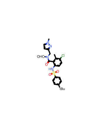 Cc1c(Cl)ccc(NS(=O)(=O)c2ccc(C(C)(C)C)cc2)c1C(=O)N(C=O)Cc1ccn(C)n1